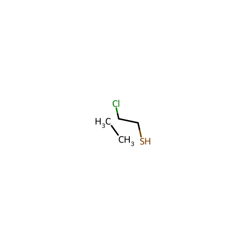 CC.SCCCl